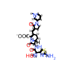 C[n+]1cccc(N2CCC(=CC3=C(C(=O)[O-])N4C(=O)[C@@H](NC(=O)/C(=N\O)c5csc(N)n5)[C@H]4CC3)C2=O)c1